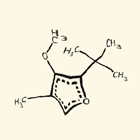 COc1c(C)coc1C(C)(C)C